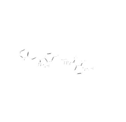 Cn1cccc(C(=O)NCCSc2ccc3c(/C=C/c4ccccn4)n[nH]c3c2)c1=O